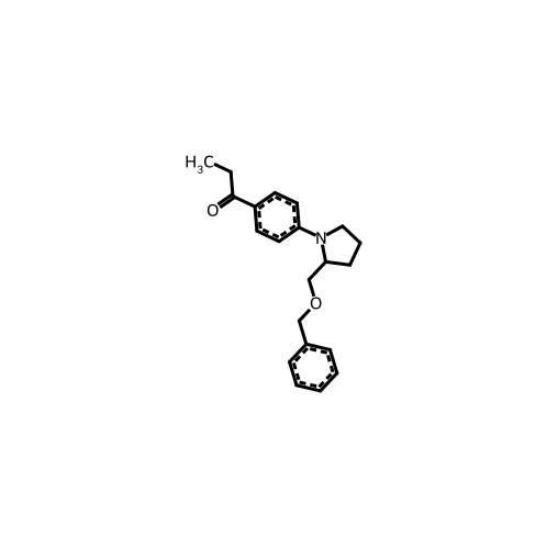 CCC(=O)c1ccc(N2CCCC2COCc2ccccc2)cc1